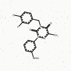 CC(=O)Nc1cccc(-n2nc(C)c(=O)n(Cc3ccc(Cl)c(F)c3)c2=O)c1